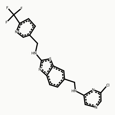 FC(F)(F)c1ccc(CNc2nc3ccc(CNc4cncc(Cl)n4)cc3s2)cn1